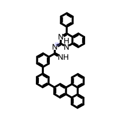 N=C(/N=c1/nc(-c2ccccc2)c2ccccc2[nH]1)c1cccc(-c2cccc(-c3ccc4c5ccccc5c5ccccc5c4c3)c2)c1